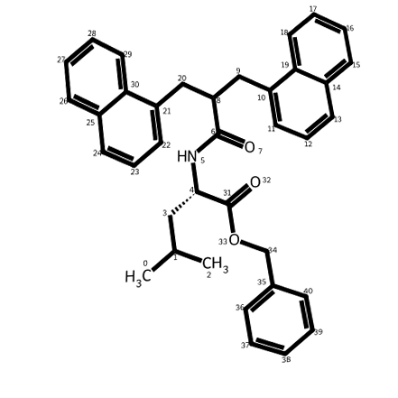 CC(C)C[C@H](NC(=O)C(Cc1cccc2ccccc12)Cc1cccc2ccccc12)C(=O)OCc1ccccc1